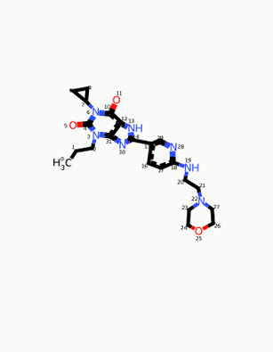 CCCn1c(=O)n(C2CC2)c(=O)c2[nH]c(-c3ccc(NCCN4CCOCC4)nc3)nc21